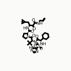 C=CCNC(=O)C(=O)C(CC1CC1)NC(=O)[C@@H]1CCCN1C(=O)[C@@H](NC(=O)[C@@H](NS(=O)(=O)c1ncn[nH]1)C1CCCCC1)C(C)(C)C